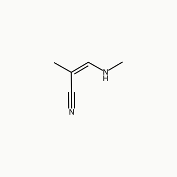 CNC=C(C)C#N